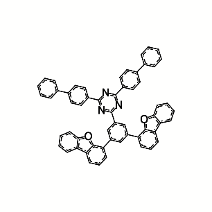 c1ccc(-c2ccc(-c3nc(-c4ccc(-c5ccccc5)cc4)nc(-c4cc(-c5cccc6c5oc5ccccc56)cc(-c5cccc6c5oc5ccccc56)c4)n3)cc2)cc1